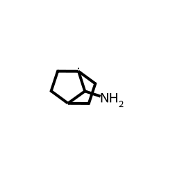 NC1[C]2CCC1CC2